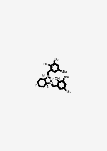 CC(C)(C)c1cc(C=[N+]2[Cr][N+](=Cc3cc(C(C)(C)C)cc(C(C)(C)C)c3O)[C@@H]3CCCC[C@H]32)c(O)c(C(C)(C)C)c1.[I-]